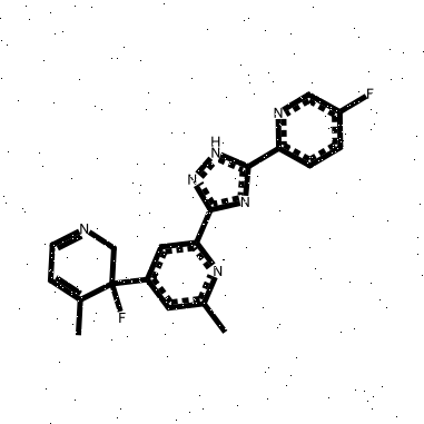 CC1=CC=NCC1(F)c1cc(C)nc(-c2n[nH]c(-c3ccc(F)cn3)n2)c1